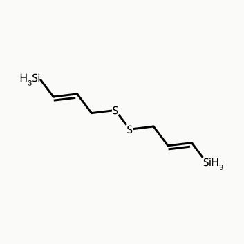 [SiH3]C=CCSSCC=C[SiH3]